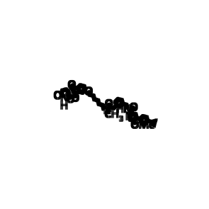 COc1cnc(C(=O)NCc2cccc(CC(=O)N(C)CCCCCCCOc3ccc4c(c3)C(=O)N(C3CCC(=O)NC3=O)C4=O)c2)cc1-c1ccc(C2CC2)cc1